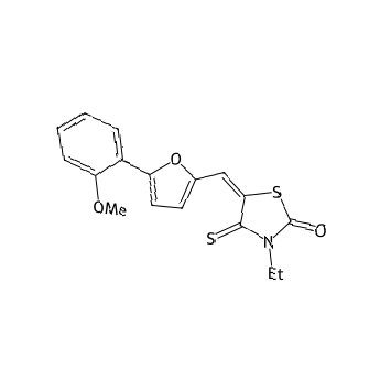 CCN1C(=O)S/C(=C/c2ccc(-c3ccccc3OC)o2)C1=S